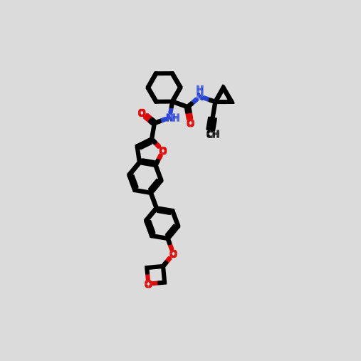 C#CC1(NC(=O)C2(NC(=O)c3cc4ccc(-c5ccc(OC6COC6)cc5)cc4o3)CCCCC2)CC1